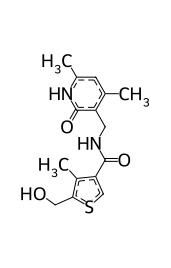 Cc1cc(C)c(CNC(=O)c2csc(CO)c2C)c(=O)[nH]1